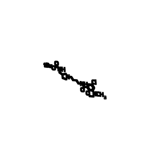 CN1CCOc2c(C(=O)NCCCCN3CCC(CNC(=O)OC(C)(C)C)C3)cc(Cl)cc21